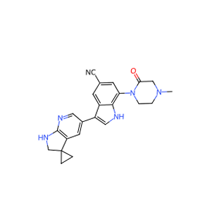 CN1CCN(c2cc(C#N)cc3c(-c4cnc5c(c4)C4(CC4)CN5)c[nH]c23)C(=O)C1